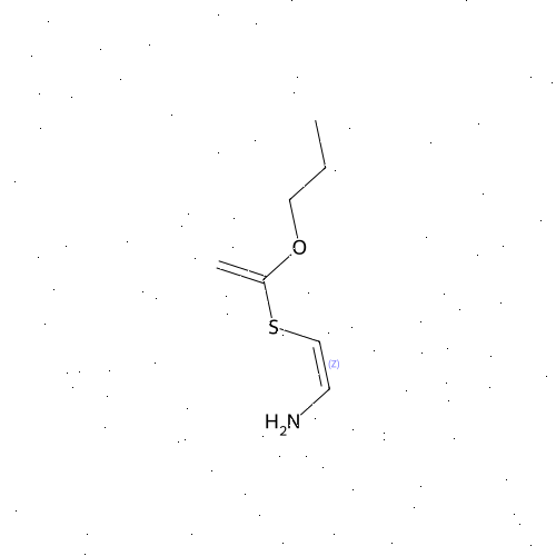 C=C(OCCC)S/C=C\N